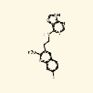 CCCCc1nc2cc(F)ccc2cc1CCNc1ncnc2[nH]cnc12